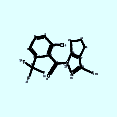 O=C(c1c(Cl)cccc1C(F)(F)F)n1nc(I)c2c1CCC2